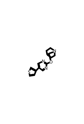 c1cc(-c2cnc(OC3CN4CCC3CC4)nc2)cs1